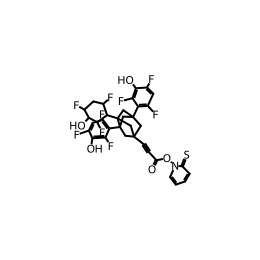 O=C(C#CC12CC3(c4c(F)cc(F)c(O)c4F)CC(c4c(F)cc(F)c(O)c4F)(C1)C(C1C(F)CC(F)C(O)C1F)(C2)C3)On1ccccc1=S